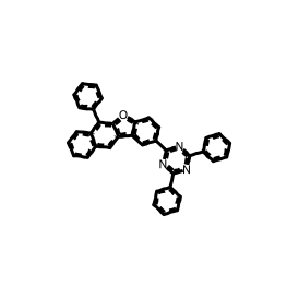 c1ccc(-c2nc(-c3ccccc3)nc(-c3ccc4oc5c(-c6ccccc6)c6ccccc6cc5c4c3)n2)cc1